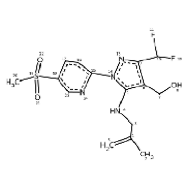 C=C(C)CNc1c(CO)c(C(F)F)nn1-c1ccc(S(C)(=O)=O)cn1